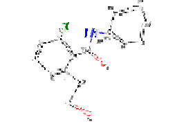 O=C[CH]c1cccc(Cl)c1C(=O)Nc1ccccc1